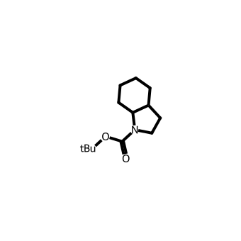 CC(C)(C)OC(=O)N1CCC2CCCCC21